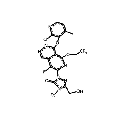 CCn1c(CO)nn(-c2nc(OCC(F)(F)F)c3c(Oc4c(C)ccnc4Cl)nncc3c2F)c1=O